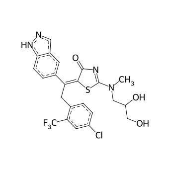 CN(CC(O)CO)C1=NC(=O)C(=C(Cc2ccc(Cl)cc2C(F)(F)F)c2ccc3[nH]ncc3c2)S1